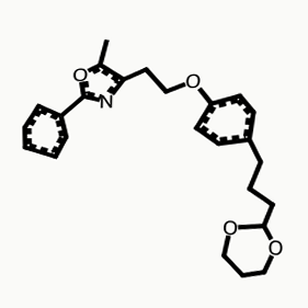 Cc1oc(-c2ccccc2)nc1CCOc1ccc(CCCC2OCCCO2)cc1